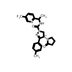 Cc1ccc(C2=NN(C(=O)NC(C)c3ccc(C(F)(F)F)cn3)C[C@@H]2N2CCCC2=O)cc1